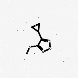 CSc1nonc1C1CC1